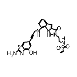 C=CS(=O)(=O)NCCNC(=O)c1cc2cccc(NCC#Cc3cc(O)c4nc(N)sc4c3)c2[nH]1